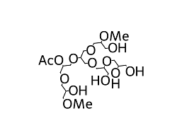 COCC(O)COCC(COC(COCC(CO)OC)COCC(CO)OCC(O)CO)OC(C)=O